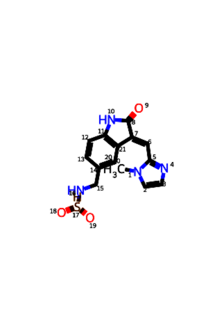 Cn1ccnc1/C=C1/C(=O)Nc2ccc(CN[SH](=O)=O)cc21